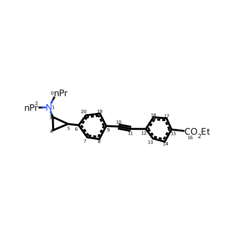 CCCN(CCC)C1CC1c1ccc(C#Cc2ccc(C(=O)OCC)cc2)cc1